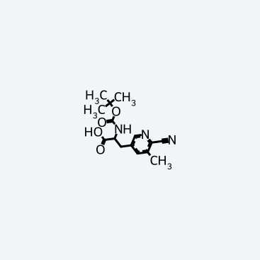 Cc1cc(CC(NC(=O)OC(C)(C)C)C(=O)O)cnc1C#N